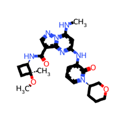 CNc1cc(Nc2cccn([C@H]3CCCOC3)c2=O)nc2c(C(=O)N[C@H]3CC[C@]3(C)OC)cnn12